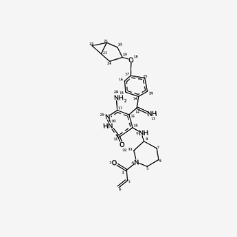 C=CC(=O)N1CCCC(Nc2c(C(=N)c3ccc(OC4CC5CC5C4)cc3)c(N)n[nH]c2=O)C1